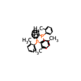 Cc1ccccc1P(c1ccccc1C)[C]12[CH]3[CH]4[CH]5[C]1(P(c1ccccc1C)c1ccccc1C)[Fe]43521678[CH]2[CH]1[CH]6[CH]7[CH]28